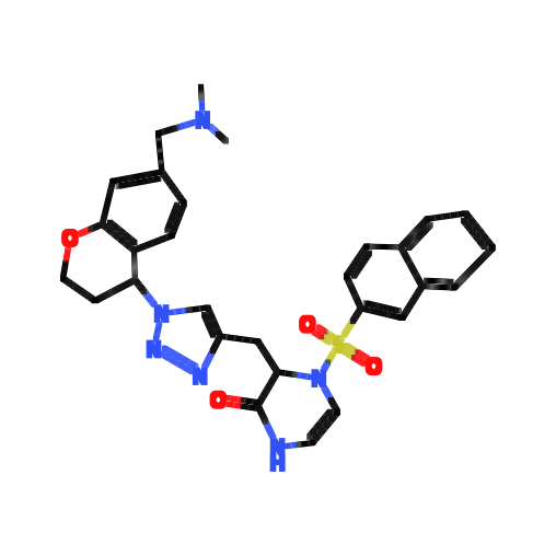 CN(C)Cc1ccc2c(c1)OCCC2n1cc(CC2C(=O)NC=CN2S(=O)(=O)c2ccc3ccccc3c2)nn1